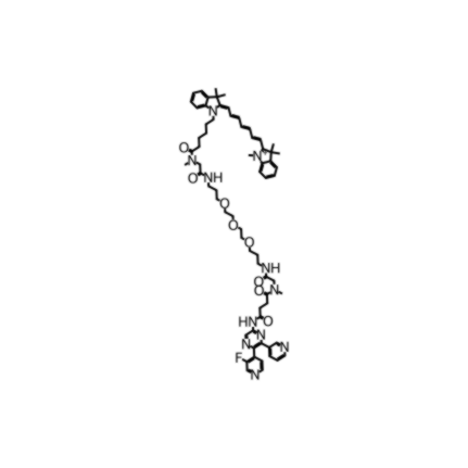 CN(CC(=O)NCCCOCCOCCOCCCNC(=O)CN(C)C(=O)CCC(=O)Nc1cnc(-c2ccncc2F)c(-c2cccnc2)n1)C(=O)CCCCCN1\C(=C/C=C/C=C/C=C/C2=[N+](C)c3ccccc3C2(C)C)C(C)(C)c2ccccc21